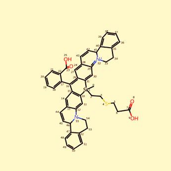 C[Si]1(CCSCCC(=O)O)c2cc3c(cc2C(c2ccccc2C(=O)O)=c2cc4c(cc21)=[N+]1CCc2ccccc2C1C=C4)C=CC1c2ccccc2CCN31